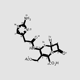 CC(=O)OCC1=C(C(=O)O)N2C(=O)C[C@H]2SC1NC(=O)Cc1csc(N)n1